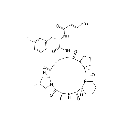 CCCC/C=C/C(=O)N[C@@H](Cc1cccc(F)c1)C(=O)N[C@H]1COC(=O)[C@@H]2C[C@@H](C)CN2C(=O)[C@H](C)NC(=O)[C@@H]2CCCCN2C(=O)[C@@H]2CCCN2C1=O